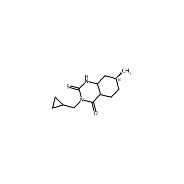 C[C@H]1CCC2C(=O)N(CC3CC3)C(=S)NC2C1